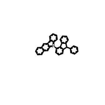 c1ccc(C2c3ccccc3-c3c2cccc3-n2c3ccccc3c3cc4ccccc4cc32)cc1